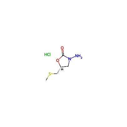 CSC[C@H]1CN(N)C(=O)O1.Cl